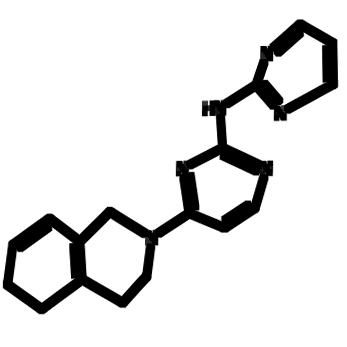 C1=CC2=C(CC1)CCN(c1ccnc(Nc3ncccn3)n1)C2